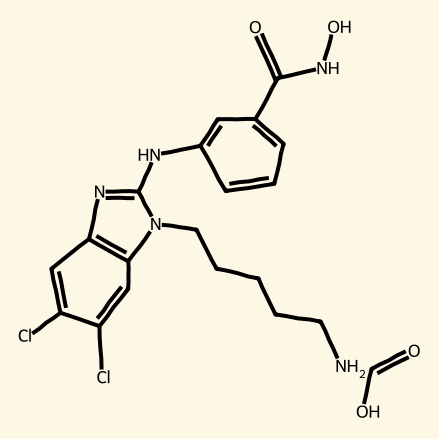 NCCCCCn1c(Nc2cccc(C(=O)NO)c2)nc2cc(Cl)c(Cl)cc21.O=CO